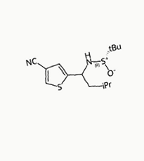 CC(C)CC(N[S@@+]([O-])C(C)(C)C)c1cc(C#N)cs1